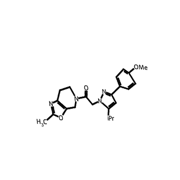 COc1ccc(-c2cc(C(C)C)n(CC(=O)N3CCc4nc(C)oc4C3)n2)cc1